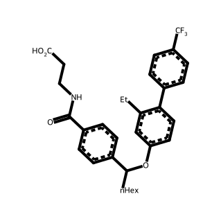 CCCCCCC(Oc1ccc(-c2ccc(C(F)(F)F)cc2)c(CC)c1)c1ccc(C(=O)NCCC(=O)O)cc1